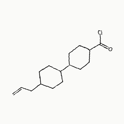 C=CCC1CCC(C2CCC(C(=O)Cl)CC2)CC1